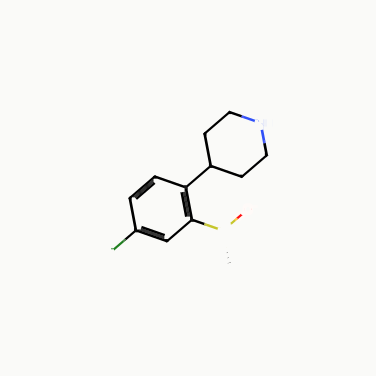 C[S@@+]([O-])c1cc(Cl)ccc1C1CCNCC1